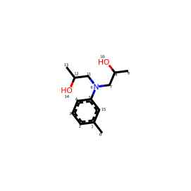 Cc1cccc(N(CC(C)O)CC(C)O)c1